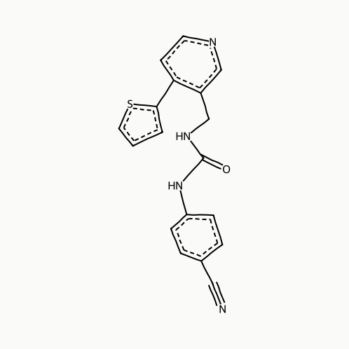 N#Cc1ccc(NC(=O)NCc2cnccc2-c2cccs2)cc1